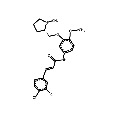 COc1ccc(NC(=O)C=Cc2ccc(Cl)c(Cl)c2)cc1OC[C@@H]1CCCN1C